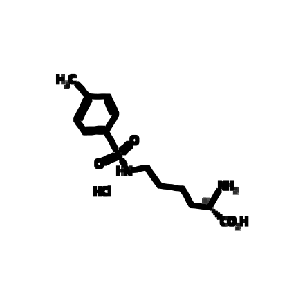 Cc1ccc(S(=O)(=O)NCCCC[C@H](N)C(=O)O)cc1.Cl